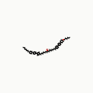 CCCCCCCC1CCC(c2ccc(-c3ccc(CCCCCCCC(=O)CCCCCCCc4ccc(-c5ccc([C@H]6CC[C@H](CCCCCCC)CC6)cc5)cc4)cc3)cc2)CC1